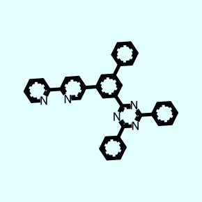 c1ccc(-c2cc(-c3ccc(-c4ccccn4)nc3)cc(-c3nc(-c4ccccc4)nc(-c4ccccc4)n3)c2)cc1